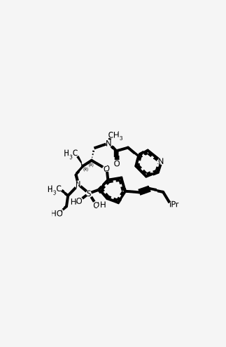 CC(C)CC#Cc1ccc2c(c1)O[C@@H](CN(C)C(=O)Cc1cccnc1)[C@H](C)CN(C(C)CO)S2(O)O